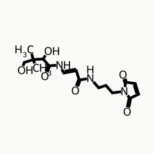 CC(C)(CO)C(O)C(=O)N/C=C/C(=O)NCCCN1C(=O)C=CC1=O